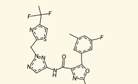 Cc1cc(F)cc(-c2oc(C)nc2C(=O)Nc2cnn(Cc3nc(C(C)(F)F)cs3)n2)c1